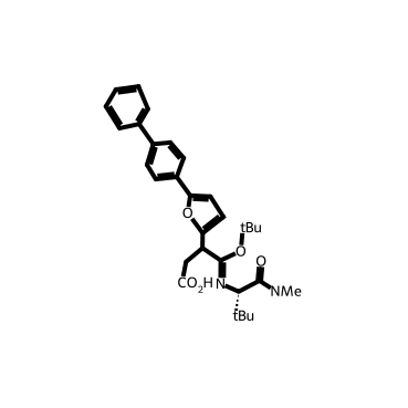 CNC(=O)[C@@H](N=C(OC(C)(C)C)C(CC(=O)O)c1ccc(-c2ccc(-c3ccccc3)cc2)o1)C(C)(C)C